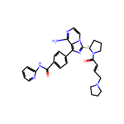 Nc1nccn2c([C@@H]3CCCN3C(=O)/C=C/CN3CCCC3)nc(-c3ccc(C(=O)Nc4ccccn4)cc3)c12